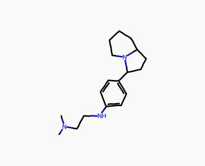 CN(C)CCNc1ccc(C2CCC3CCCCN32)cc1